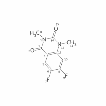 Cn1c(=O)c2cc(F)c(F)cc2n(C)c1=O